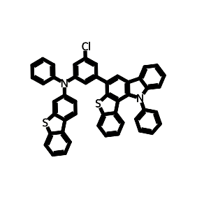 Clc1cc(-c2cc3c4ccccc4n(-c4ccccc4)c3c3c2sc2ccccc23)cc(N(c2ccccc2)c2ccc3c(c2)sc2ccccc23)c1